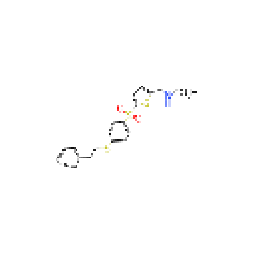 O=C(O)NCc1ccc(S(=O)(=O)c2ccc(SCCc3ccccc3)cc2)s1